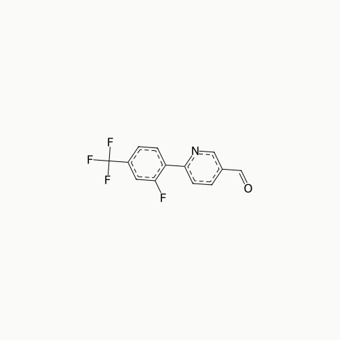 O=Cc1ccc(-c2ccc(C(F)(F)F)cc2F)nc1